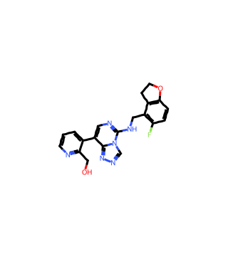 OCc1ncccc1-c1cnc(NCc2c(F)ccc3c2CCO3)n2cnnc12